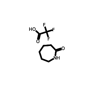 O=C(O)C(F)(F)F.O=C1CCCCCN1